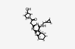 O=C(Cc1nc(NCC2CC2)c2c3c(sc2n1)CCCC3)N1CCC(O)C1